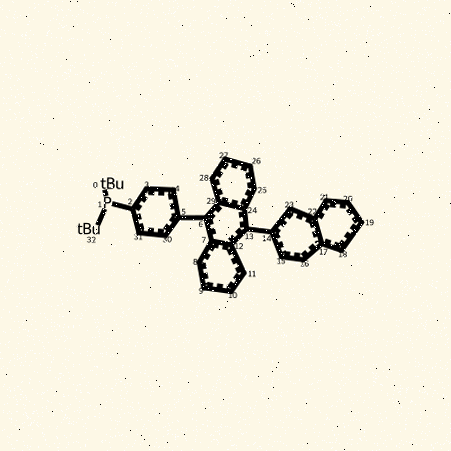 CC(C)(C)P(c1ccc(-c2c3ccccc3c(-c3ccc4ccccc4c3)c3ccccc23)cc1)C(C)(C)C